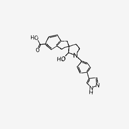 O=C(O)c1ccc2c(c1)CC1(CCN(c3ccc(-c4cn[nH]c4)cc3)C1O)C2